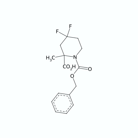 CC1(C(=O)O)CC(F)(F)CCN1C(=O)OCc1ccccc1